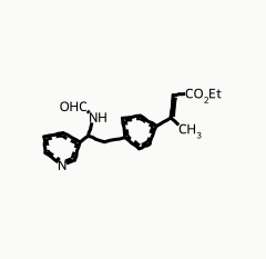 CCOC(=O)C=C(C)c1ccc(CC(NC=O)c2cccnc2)cc1